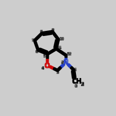 C=CN1COC2=CCC=CC=C2C1